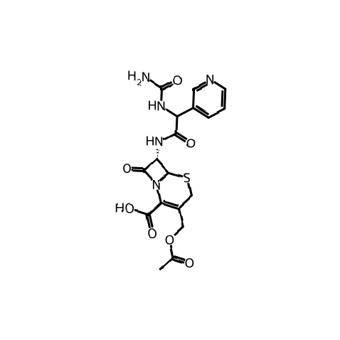 CC(=O)OCC1=C(C(=O)O)N2C(=O)[C@H](NC(=O)C(NC(N)=O)c3cccnc3)C2SC1